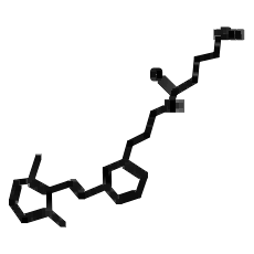 CCCCCCCCCCCCCC(=O)NCCCc1cccc(C=Cc2c(C)cccc2C)c1